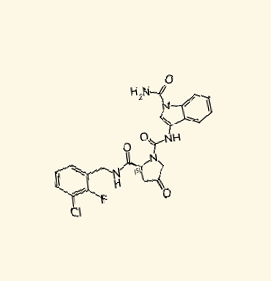 NC(=O)n1cc(NC(=O)N2CC(=O)C[C@H]2C(=O)NCc2cccc(Cl)c2F)c2ccccc21